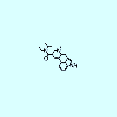 CCN(C(=O)C1C=C2c3cccc4[nH]cc(c34)CC2N(C)C1)C(C)C